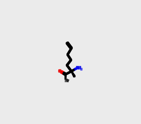 C=CCCC[C@](C)(N)C(=O)C(C)C